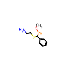 COPC(SCCN)c1ccccc1